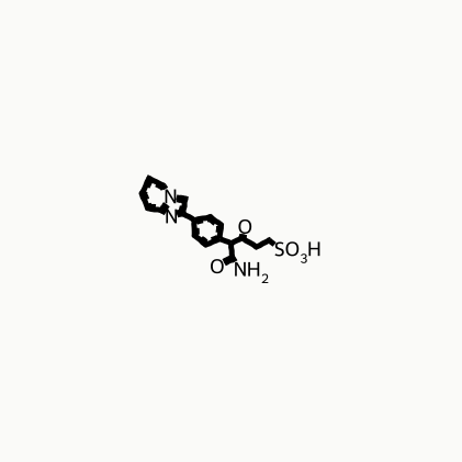 NC(=O)C(C(=O)CCS(=O)(=O)O)c1ccc(-c2cn3ccccc3n2)cc1